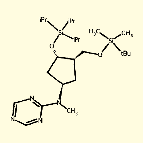 CC(C)[Si](O[C@H]1C[C@H](N(C)c2ncncn2)C[C@@H]1CO[Si](C)(C)C(C)(C)C)(C(C)C)C(C)C